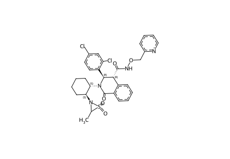 CC1N([C@H]2CCCC[C@@H]2N2C(=O)c3ccccc3[C@@H](C(=O)NOCc3ccccn3)[C@@H]2c2ccc(Cl)cc2Cl)S1(=O)=O